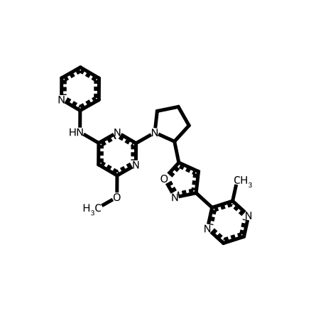 COc1cc(Nc2ccccn2)nc(N2CCCC2c2cc(-c3nccnc3C)no2)n1